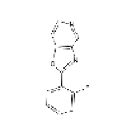 Fc1ccccc1-c1nc2cnccc2o1